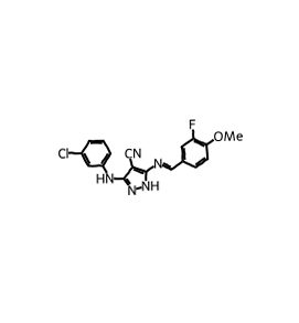 COc1ccc(/C=N/c2[nH]nc(Nc3cccc(Cl)c3)c2C#N)cc1F